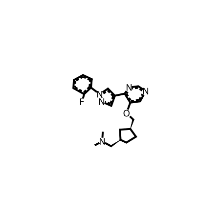 CN(C)C[C@@H]1CC[C@H](COc2cncnc2-c2cnn(-c3ccccc3F)c2)C1